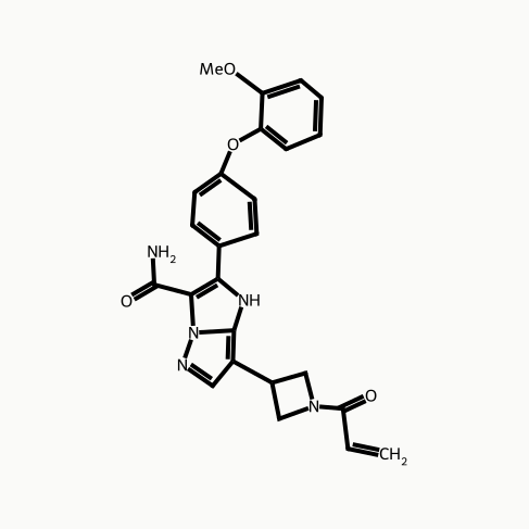 C=CC(=O)N1CC(c2cnn3c(C(N)=O)c(-c4ccc(Oc5ccccc5OC)cc4)[nH]c23)C1